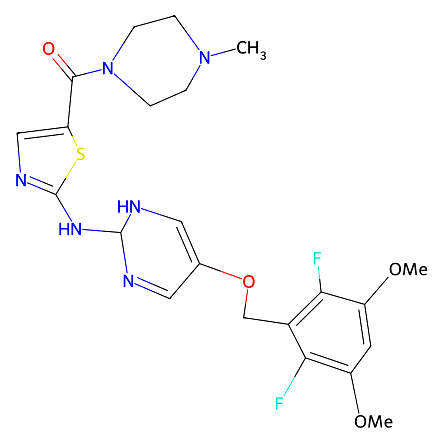 COc1cc(OC)c(F)c(COC2=CNC(Nc3ncc(C(=O)N4CCN(C)CC4)s3)N=C2)c1F